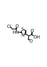 O=CC(C(=O)O)c1csc(NC(=O)CCl)n1